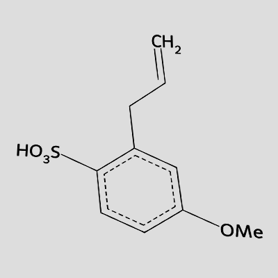 C=CCc1cc(OC)ccc1S(=O)(=O)O